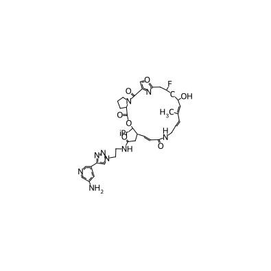 CC1=C\C(O)CC(F)Cc2nc(co2)C(=O)N2CCCC2C(=O)OC(C(C)C)C(CC(=O)NCCn2cc(-c3cncc(N)c3)nn2)/C=C/C(=O)NC\C=C\1